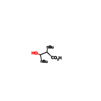 CCCCC(O)C(CCCC)C(=O)O